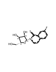 OC[C@H]1O[C@@H](n2ccc3ccc(F)cc3c2=S)[C@H](O)[C@@H]1O